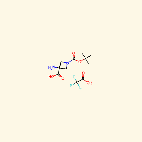 CC(C)(C)OC(=O)N1CC(N)(C(=O)O)C1.O=C(O)C(F)(F)F